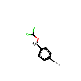 Cc1ccc([SiH2]OC(Cl)Cl)cc1